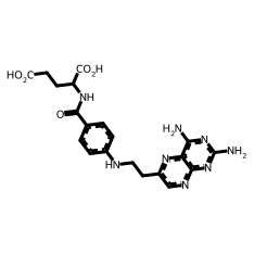 Nc1nc(N)c2nc(CCNc3ccc(C(=O)NC(CCC(=O)O)C(=O)O)cc3)cnc2n1